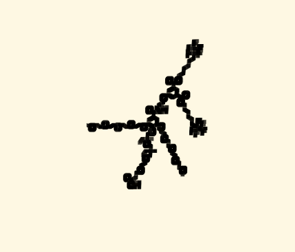 CCC(C)(COCCOCCC(=O)O)COC(C)(CC)COc1c(OCCOCCOCCOCCOC)cc(C(=O)NCCOc2cc(C(=O)OCCCCCCC(F)(F)C(F)(F)F)cc(C(=O)OCCCCCCC(F)(F)C(F)(F)F)c2)cc1OCCOCCOCCOCCOC